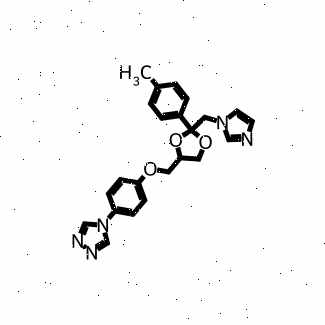 Cc1ccc(C2(Cn3ccnc3)OCC(COc3ccc(-n4cnnc4)cc3)O2)cc1